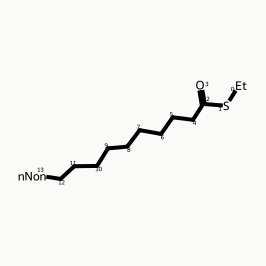 [CH2]CSC(=O)CCCCCCCCCCCCCCCCCC